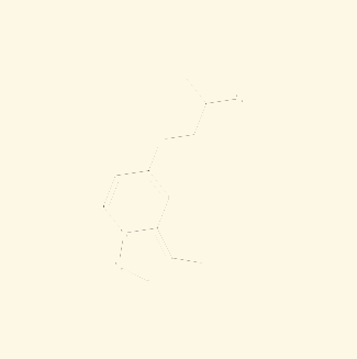 CCOC(=O)C1=C2C=C(OCC(C)N=O)C=CN2NC1